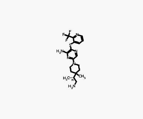 C[C@@H](CN)C1(C)CCN(c2cnc(Sc3cccnc3C(F)(F)F)c(N)n2)CC1